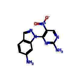 Nc1ccc2cnn(-c3nc(N)ncc3[N+](=O)[O-])c2c1